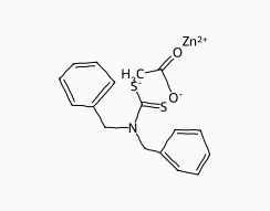 CC(=O)[O-].S=C([S-])N(Cc1ccccc1)Cc1ccccc1.[Zn+2]